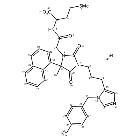 CSCCC(NC(=O)CN1C(=O)N(CCCc2cncn2Cc2ccc(C#N)cc2)C(=O)C1(C)c1cccc2ccccc12)C(=O)O.[LiH]